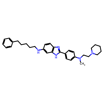 CN(CCN1CCCCC1)c1ccc(-c2nc3ccc(NCCCCCc4ccccc4)cc3[nH]2)cc1